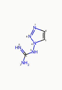 N=C(N)Nn1ccnn1